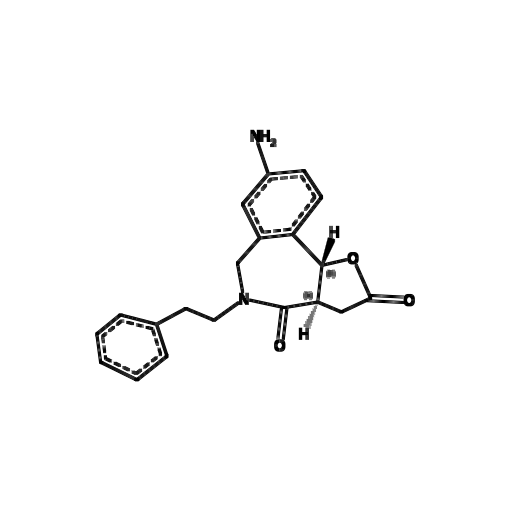 Nc1ccc2c(c1)CN(CCc1ccccc1)C(=O)[C@@H]1CC(=O)O[C@@H]21